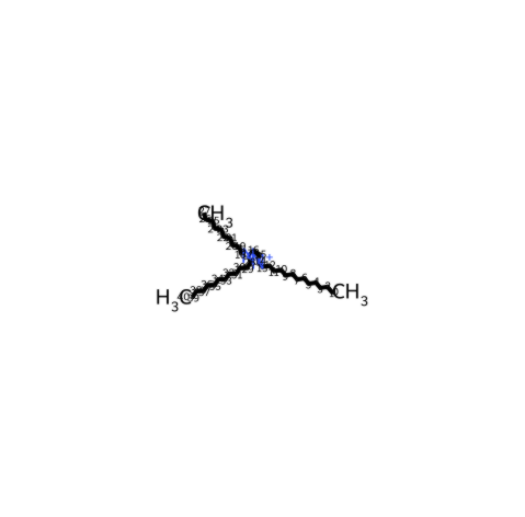 CCCCCCCCCCCCCC[n+]1ccn(CCCCCCCCCC)c1CCCCCCCCCCCC